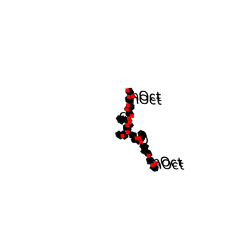 CCCCCCCCC1(CCCCCCCC)c2ccccc2-c2ccc(-c3ccc4c(c3)C(C)(C)c3cc(-c5cc6c(c7c5oc5ccccc57)-c5ccc(N(c7ccc8c(c7)C(C)(C)c7cc(-c9ccc%10c(c9)C(C)(C)c9cc(-c%11ccc%12c(c%11)C(CCCCCCCC)(CCCCCCCC)c%11ccccc%11-%12)ccc9-%10)c9oc%10ccccc%10c9c7-8)c7ccc8ccccc8c7)cc5C6(C)C)ccc3-4)cc21